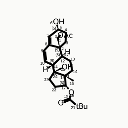 CC(=O)OC[C@]12CC[C@H](O)C=C1C=C[C@@H]1[C@@H]2CC[C@]2(C)[C@@H](OC(=O)C(C)(C)C)CC[C@]12O